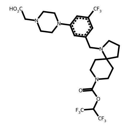 O=C(O)CN1CCN(c2cc(CN3CCCC34CCN(C(=O)OC(C(F)(F)F)C(F)(F)F)CC4)cc(C(F)(F)F)c2)CC1